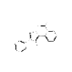 Cc1c(-c2ccccc2C(O)C(F)(F)F)[nH]c(C(=O)O)c1-c1ccccc1